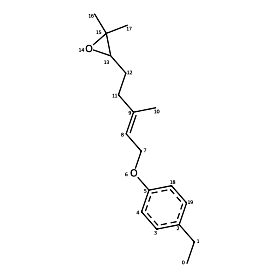 CCc1ccc(OC/C=C(\C)CCC2OC2(C)C)cc1